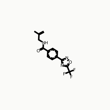 C=C(C)CNC(=O)c1ccc(-c2noc(C(F)(F)F)n2)cc1